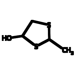 CC1SCC(O)S1